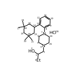 CCC(O)CN1CCN(c2ccccc2C2CC(C)(C)CC(C)(C)C2)CC1.Cl